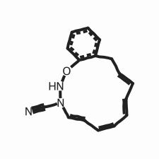 N#CN1/C=C/C=C\C=C\C=C\Cc2ccccc2ON1